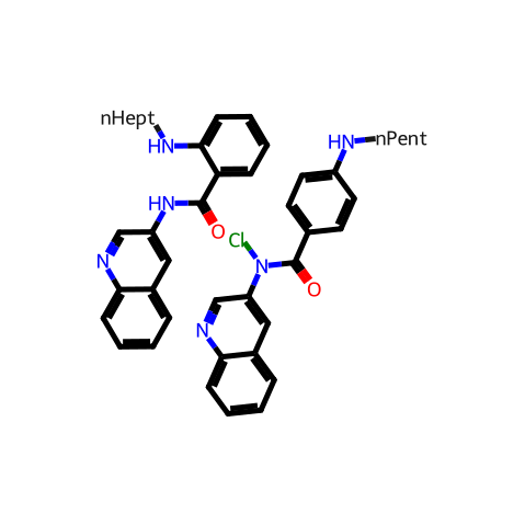 CCCCCCCNc1ccccc1C(=O)Nc1cnc2ccccc2c1.CCCCCNc1ccc(C(=O)N(Cl)c2cnc3ccccc3c2)cc1